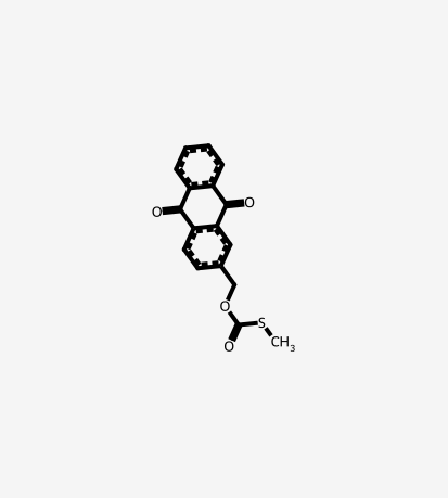 CSC(=O)OCc1ccc2c(c1)C(=O)c1ccccc1C2=O